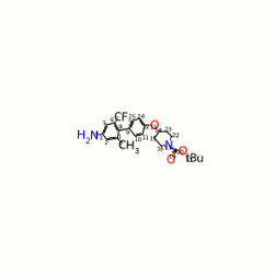 Cc1cc(N)cc(C(F)(F)F)c1-c1ccc(OC2CCN(C(=O)OC(C)(C)C)CC2)cc1